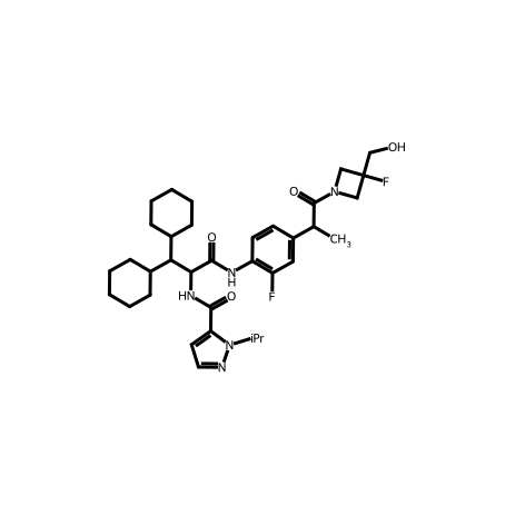 CC(C(=O)N1CC(F)(CO)C1)c1ccc(NC(=O)C(NC(=O)c2ccnn2C(C)C)C(C2CCCCC2)C2CCCCC2)c(F)c1